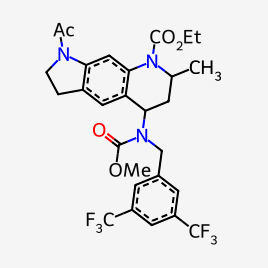 CCOC(=O)N1c2cc3c(cc2C(N(Cc2cc(C(F)(F)F)cc(C(F)(F)F)c2)C(=O)OC)CC1C)CCN3C(C)=O